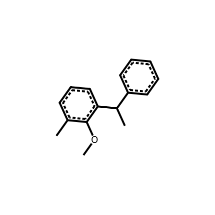 COc1c(C)cccc1C(C)c1ccccc1